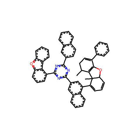 CC1CC=C(c2ccccc2)C2=C1C1(C)C(c3cc(-c4nc(-c5ccc6ccccc6c5)nc(-c5cccc6oc7ccccc7c56)n4)cc4ccccc34)=CC=CC1O2